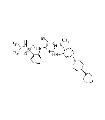 COc1ccc(N2CCC(N3CCCCC3)CC2)cc1Nc1ncc(Br)c(Nc2ccccc2S(=O)(=O)NC(C)C)n1